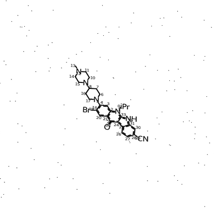 CC(C)n1c2cc(N3CCC(N4CCN(C)CC4)CC3)c(Br)cc2c(=O)c2c3ccc(C#N)cc3[nH]c21